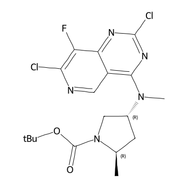 C[C@@H]1C[C@@H](N(C)c2nc(Cl)nc3c(F)c(Cl)ncc23)CN1C(=O)OC(C)(C)C